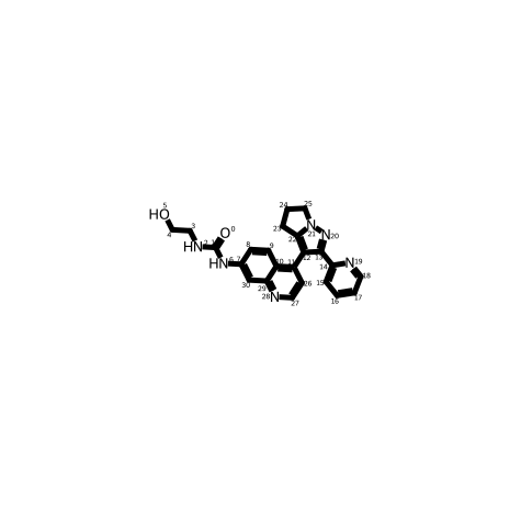 O=C(NCCO)Nc1ccc2c(-c3c(-c4ccccn4)nn4c3CCC4)ccnc2c1